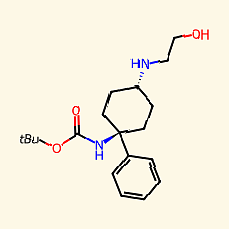 CC(C)(C)OC(=O)N[C@]1(c2ccccc2)CC[C@@H](NCCO)CC1